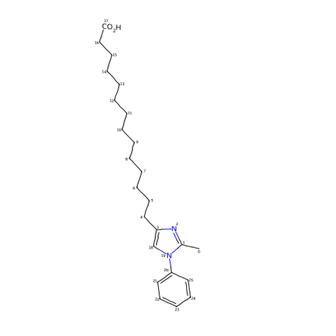 Cc1nc(CCCCCCCCCCCCCC(=O)O)cn1-c1ccccc1